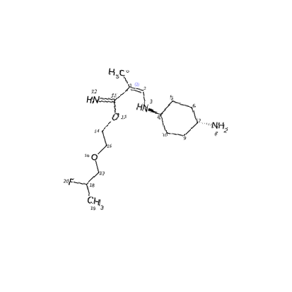 C/C(=C/N[C@H]1CC[C@H](N)CC1)C(=N)OCCOCC(C)F